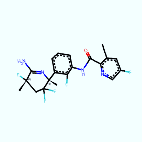 Cc1cc(F)cnc1C(=O)Nc1cccc([C@@]2(C)N=C(N)[C@@](C)(F)CC2(F)F)c1F